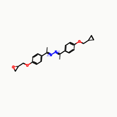 C/C(=N\N=C(/C)c1ccc(OCC2CO2)cc1)c1ccc(OCC2CC2)cc1